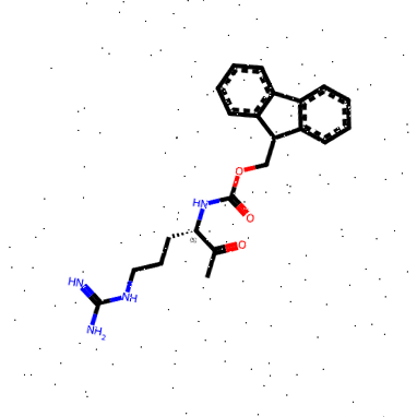 CC(=O)[C@H](CCCNC(=N)N)NC(=O)OCC1c2ccccc2-c2ccccc21